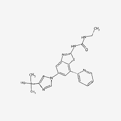 CCNC(=O)Nc1nc2cc(-n3cnc(C(C)(C)O)c3)cc(-c3ccccn3)c2s1